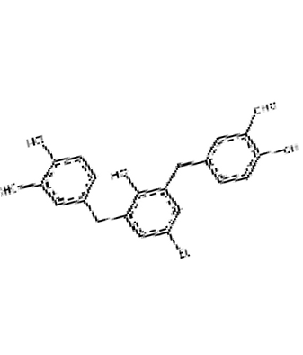 CCc1cc(Cc2ccc(O)c(C=O)c2)c(O)c(Cc2ccc(O)c(C=O)c2)c1